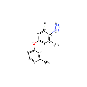 Cc1cccc(Oc2cc(C)c(NN)c(F)c2)c1